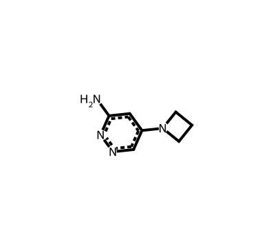 Nc1cc(N2CCC2)cnn1